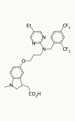 CCc1cnc(N(CCCOc2ccc3c(c2)C(CC(=O)O)CN3C)Cc2ccc(C(F)(F)F)cc2C(F)(F)F)nc1